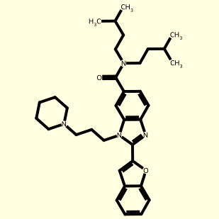 CC(C)CCN(CCC(C)C)C(=O)c1ccc2nc(-c3cc4ccccc4o3)n(CCCN3CCCCC3)c2c1